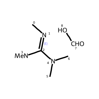 C/N=C(\NC)N(C)C.O=CO